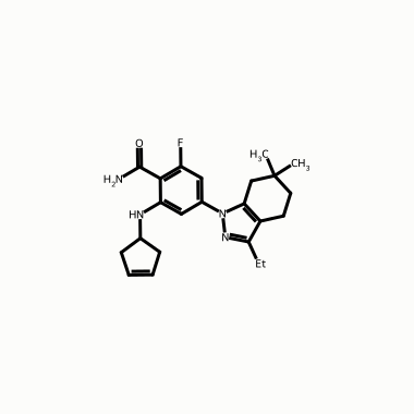 CCc1nn(-c2cc(F)c(C(N)=O)c(NC3CC=CC3)c2)c2c1CCC(C)(C)C2